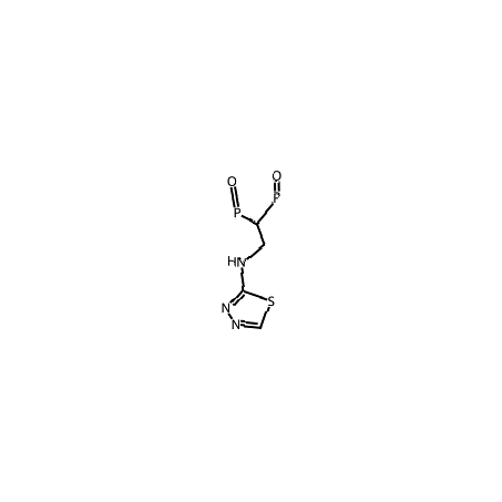 O=PC(CNc1nncs1)P=O